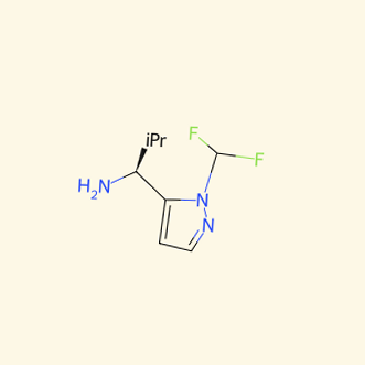 CC(C)[C@H](N)c1ccnn1C(F)F